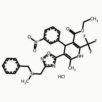 CCOC(=O)C1=C(C(F)(F)F)NC(C)=C(c2nc(CN(C)Cc3ccccc3)no2)C1c1cccc([N+](=O)[O-])c1.Cl